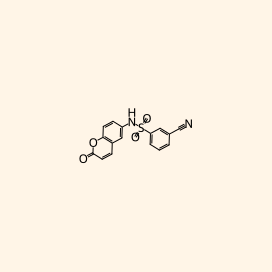 N#Cc1cccc(S(=O)(=O)Nc2ccc3oc(=O)ccc3c2)c1